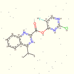 CC(C)c1nc(C(=O)Oc2nc(Cl)ncc2F)nc2ccccc12